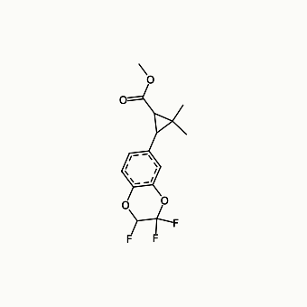 COC(=O)C1C(c2ccc3c(c2)OC(F)(F)C(F)O3)C1(C)C